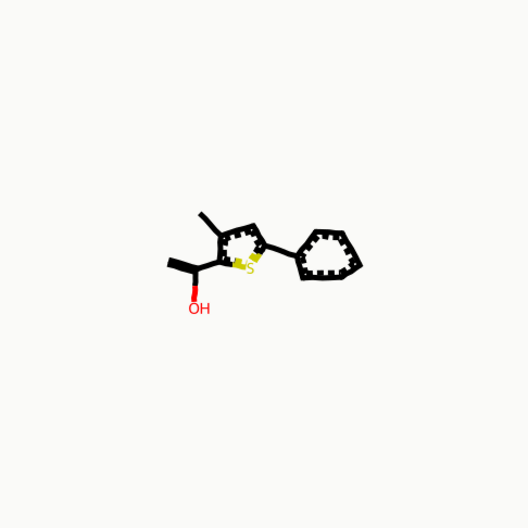 C=C(O)c1sc(-c2ccccc2)cc1C